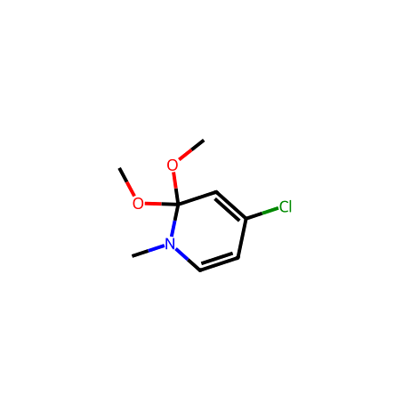 COC1(OC)C=C(Cl)C=CN1C